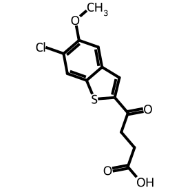 COc1cc2cc(C(=O)CCC(=O)O)sc2cc1Cl